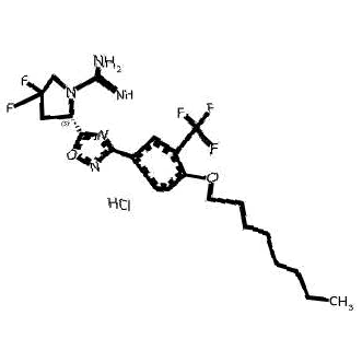 CCCCCCCCOc1ccc(-c2noc([C@@H]3CC(F)(F)CN3C(=N)N)n2)cc1C(F)(F)F.Cl